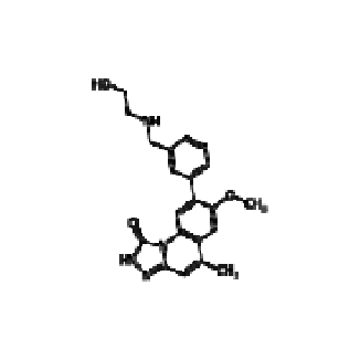 COc1cc2c(C)cc3n[nH]c(=O)n3c2cc1-c1cccc(CNCCO)c1